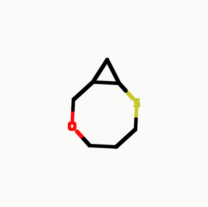 C1COCC2CC2SC1